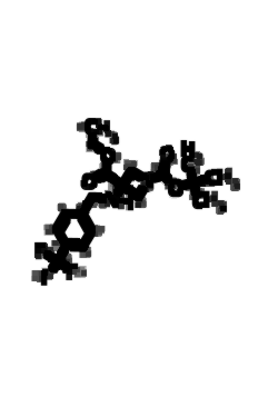 CCOC(=O)C1(NCc2ccc(C(F)(F)F)cc2)CN(C(=O)OC(C)(C)C)C1